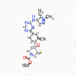 Cc1c(Nc2ncnc(-c3ccc(OC4CCN(C(=O)OC(C)(C)C)CC4F)c(C#N)c3)n2)cnn1C